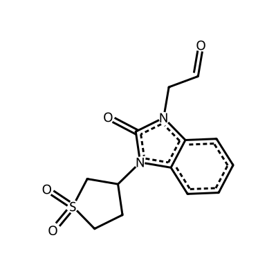 O=CCn1c(=O)n(C2CCS(=O)(=O)C2)c2ccccc21